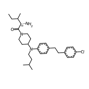 CCC(C)[C@H](N)C(=O)N1CCC(N(CCC(C)C)c2ccc(CCc3ccc(Cl)cc3)cc2)CC1